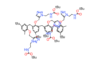 Cc1cc(C(C)(C)C)cc(Cc2cc(C(C)(C)C)cc(Cc3cc(C(C)(C)C)cc(Cc4cc(C(C)(C)C)cc(C)c4OCc4cnnn4CCNC(=O)OC(C)(C)C)c3OCc3cnnn3CCNC(=O)OC(C)(C)C)c2OCc2cnnn2CCNC(=O)OC(C)(C)C)c1OCc1cnnn1CCNC(=O)OC(C)(C)C